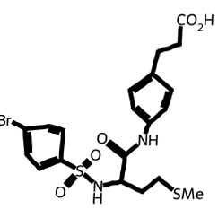 CSCCC(NS(=O)(=O)c1ccc(Br)cc1)C(=O)Nc1ccc(CCC(=O)O)cc1